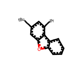 CC(C)c1cc(C(C)(C)C)cc2oc3ccccc3c12